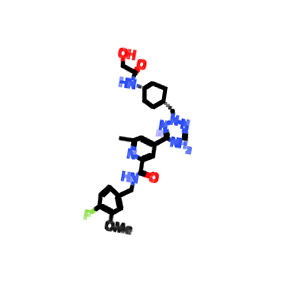 C=NN(C[C@H]1CC[C@@H](NC(=O)CO)CC1)/N=C(\N)c1cc(C)nc(C(=O)NCc2ccc(F)c(OC)c2)c1